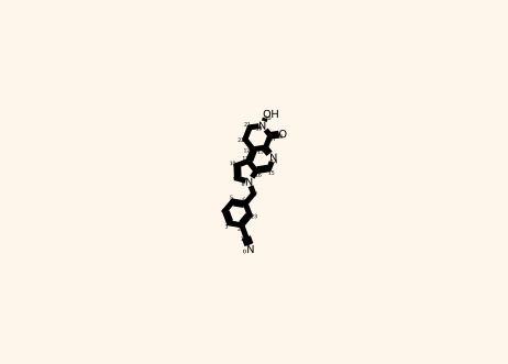 N#Cc1cccc(Cn2ccc3c4c(ncc32)C(=O)N(O)CC4)c1